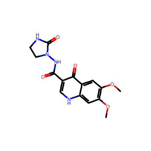 COc1cc2[nH]cc(C(=O)NN3CCNC3=O)c(=O)c2cc1OC